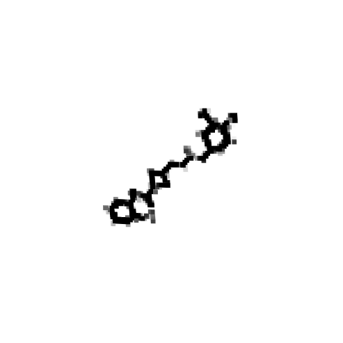 O=C(Nc1cnccc1Cl)N1CC(CCOCc2ccc(Cl)c(Cl)c2)C1